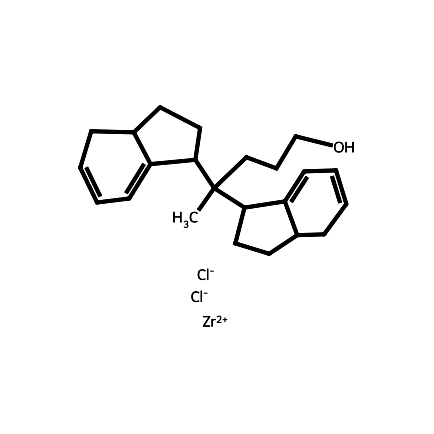 CC(CCCO)(C1CCC2CC=CC=C21)C1CCC2CC=CC=C21.[Cl-].[Cl-].[Zr+2]